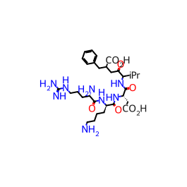 CC(C)C(NC(=O)[C@H](CC(=O)O)NC(=O)[C@@H](CCCCN)NC(=O)[C@@H](N)CCCNC(=N)N)C(=O)CC(Cc1ccccc1)C(=O)O